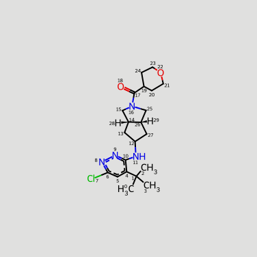 CC(C)(C)c1cc(Cl)nnc1NC1C[C@@H]2CN(C(=O)C3CCOCC3)C[C@@H]2C1